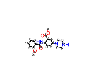 COC(=O)c1cc(N2CCNCC2)ccc1NC(=O)c1ccccc1OC